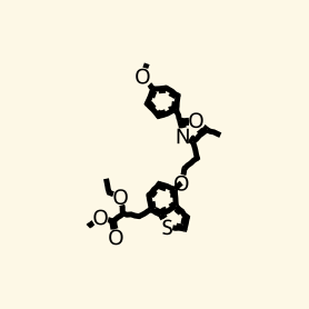 CCOC(Cc1ccc(OCCc2nc(-c3ccc(OC)cc3)oc2C)c2ccsc12)C(=O)OC